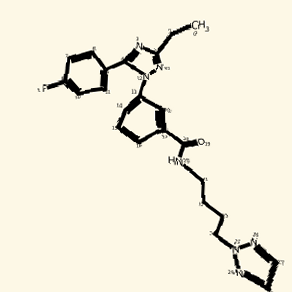 CCc1nc(-c2ccc(F)cc2)n(-c2cccc(C(=O)NCCCCn3nccn3)c2)n1